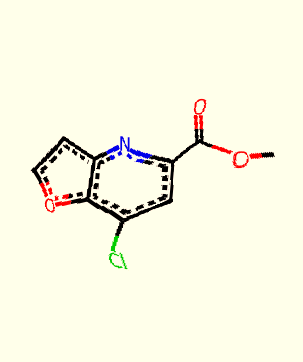 COC(=O)c1cc(Cl)c2occc2n1